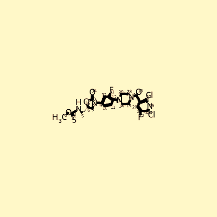 COC(=S)NC[C@H]1CN(c2ccc(N3CCN(C(=O)c4cc(F)c(Cl)nc4Cl)CC3)c(F)c2)C(=O)O1